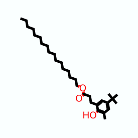 CCCCCCCCCCCCCCCCCOC(=O)CCc1cc(C(C)(C)C)cc(C)c1O